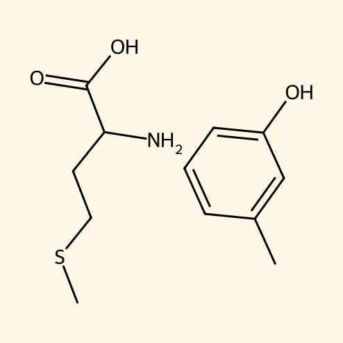 CSCCC(N)C(=O)O.Cc1cccc(O)c1